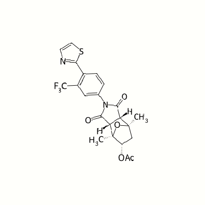 CC(=O)O[C@H]1C[C@@]2(C)O[C@]1(C)[C@@H]1C(=O)N(c3ccc(-c4nccs4)c(C(F)(F)F)c3)C(=O)[C@@H]12